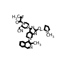 C=C(F)C(=O)N1CCN(c2nc(OC[C@@H]3CCCN3C)nc3c2CCN(c2c(C)ncc4ccccc24)C3)C[C@@H]1CC#N